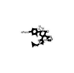 CCCCCc1ccc([C@]2(C)CC(c3ccn(CC4CC4)n3)=C(c3nnn[nH]3)C(=O)N2)c(F)c1